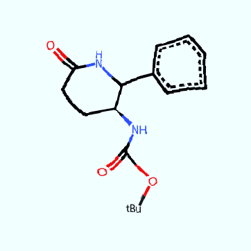 CC(C)(C)OC(=O)N[C@H]1CCC(=O)NC1c1ccccc1